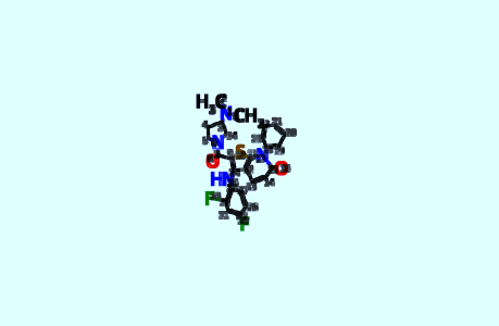 CN(C)[C@@H]1CCN(C(=O)c2sc3c(ccc(=O)n3-c3ccccc3)c2Nc2ccc(F)cc2F)C1